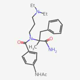 CCN(CC)CCCN(C(=O)c1ccc(NC(C)=O)cc1)C(C)(Cc1ccccc1)C(N)=O